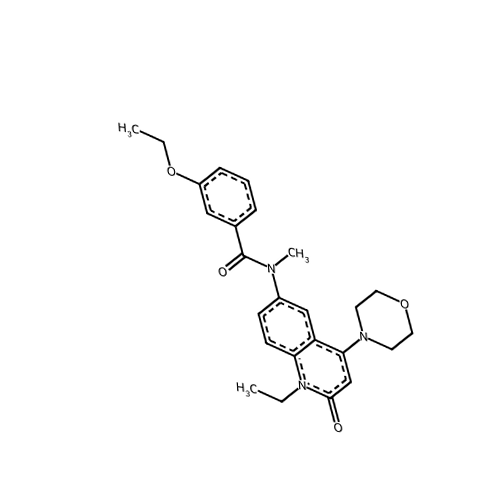 CCOc1cccc(C(=O)N(C)c2ccc3c(c2)c(N2CCOCC2)cc(=O)n3CC)c1